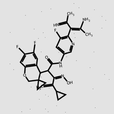 C=C(/C(=N\O)C(C(=O)Nc1cnc(/C(C(C)=N)=C(\C)N)c(F)c1)C1c2cc(F)c(F)cc2OCC12CC2)C1CC1